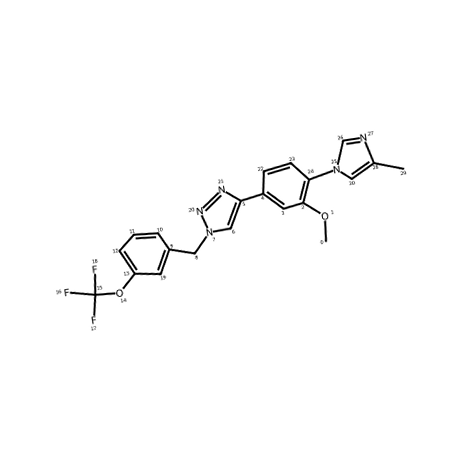 COc1cc(-c2cn(Cc3cccc(OC(F)(F)F)c3)nn2)ccc1-n1cnc(C)c1